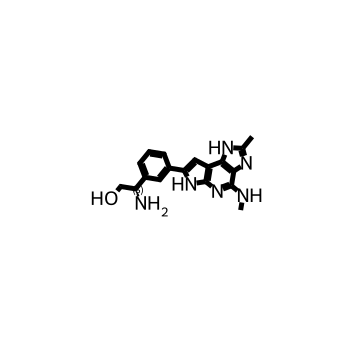 CNc1nc2[nH]c(-c3cccc([C@H](N)CO)c3)cc2c2[nH]c(C)nc12